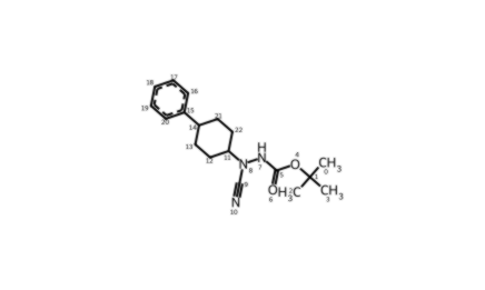 CC(C)(C)OC(=O)NN(C#N)C1CCC(c2ccccc2)CC1